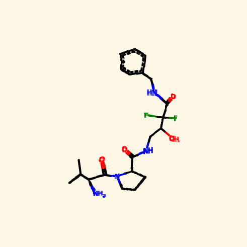 CC(C)[C@H](N)C(=O)N1CCCC1C(=O)NCC(O)C(F)(F)C(=O)NCc1ccccc1